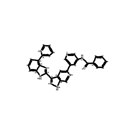 O=C(Nc1cncc(-c2cc3c(-c4nc5c(-c6ccccn6)cccc5[nH]4)n[nH]c3cn2)c1)c1ccccc1